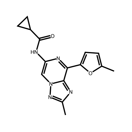 Cc1nc2c(-c3ccc(C)o3)nc(NC(=O)C3CC3)cn2n1